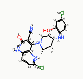 C[C@@H]1CN(c2c(C#N)c(=O)n(C)c3ccc(Cl)nc23)CC[C@@H]1Nc1ccc(Cl)cc1O